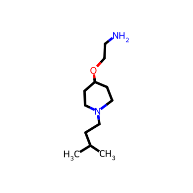 CC(C)CCN1CCC(OCCN)CC1